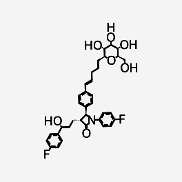 O=C1[C@H](CC[C@H](O)c2ccc(F)cc2)[C@@H](c2ccc(/C=C/CCC[C@@H]3O[C@H](CO)[C@@H](O)[C@H](O)[C@H]3O)cc2)N1c1ccc(F)cc1